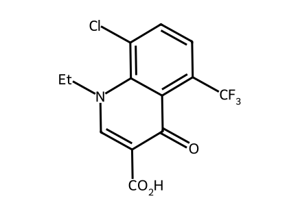 CCn1cc(C(=O)O)c(=O)c2c(C(F)(F)F)ccc(Cl)c21